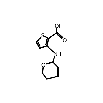 O=C(O)c1sccc1NC1CCCCO1